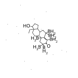 BC1=C2C(B)(B)CC3C(CCC4(CC)C(O)CCC34)C2(B)CC(B)(B)C1=O